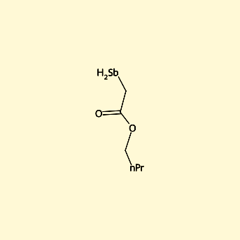 CCCCOC(=O)[CH2][SbH2]